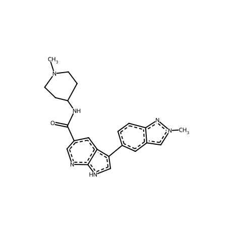 CN1CCC(NC(=O)c2cnc3[nH]cc(-c4ccc5nn(C)cc5c4)c3c2)CC1